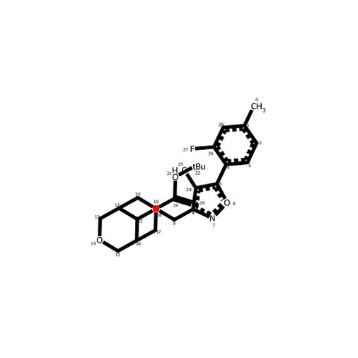 Cc1ccc(-c2onc(COC3C4COCC3CN(C(=O)OC(C)(C)C)C4)c2C)c(F)c1